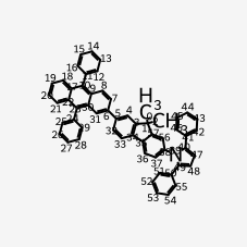 CC1(C)c2cc(-c3ccc4c(-c5ccccc5)c5ccccc5c(-c5ccccc5)c4c3)ccc2-c2ccc(-n3c(-c4ccccc4)ccc3-c3ccccc3)cc21